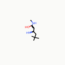 CN/C(O)=C/C(=N)CC(C)(C)C